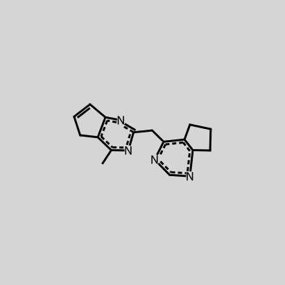 Cc1nc(Cc2ncnc3c2CCC3)nc2c1CC=C2